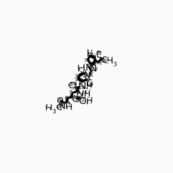 CNC(=O)/C=C/CCC(NC(=O)O)C(=O)Nc1cccn(Cc2nc3c(CC(C)C)cccc3[nH]2)c1=O